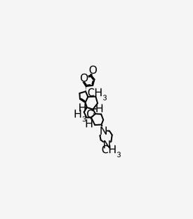 CN1CCCN(C2CC[C@@]3(C)[C@H](CC[C@H]4C5=CC[C@H](c6ccc(=O)oc6)[C@@]5(C)CC[C@@H]43)C2)CC1